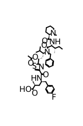 CC[C@H](C)[C@H](NC(=O)[C@H]1CCCCN1C)C(=O)N(Cc1ccccc1)[C@H](C[C@@H](OC(C)=O)c1nc(C(=O)N[C@@H](Cc2ccc(F)cc2)C[C@H](C)C(=O)O)cs1)C(C)C